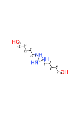 N=C(NCCCCCO)NCCCCCO